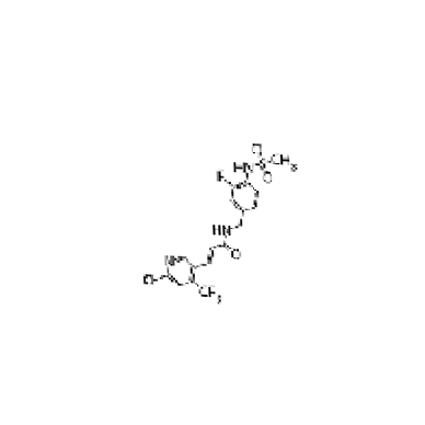 CS(=O)(=O)Nc1ccc(CNC(=O)/C=C/c2cnc(Cl)cc2C(F)(F)F)cc1F